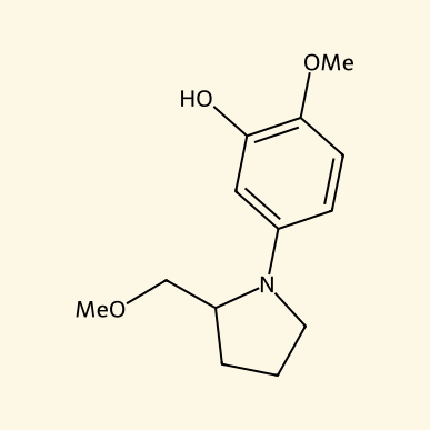 COCC1CCCN1c1ccc(OC)c(O)c1